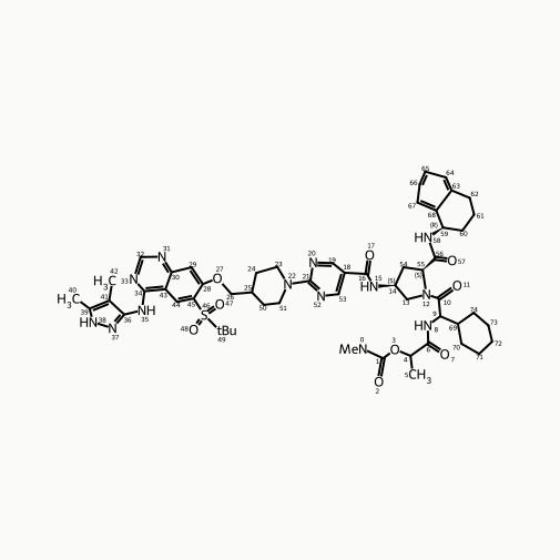 CNC(=O)OC(C)C(=O)NC(C(=O)N1C[C@@H](NC(=O)c2cnc(N3CCC(COc4cc5ncnc(Nc6n[nH]c(C)c6C)c5cc4S(=O)(=O)C(C)(C)C)CC3)nc2)C[C@H]1C(=O)N[C@@H]1CCCc2ccccc21)C1CCCCC1